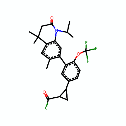 Cc1cc2c(cc1-c1cc(C3CC3C(=O)Cl)ccc1OC(F)(F)F)N(C(C)C)C(=O)CC2(C)C